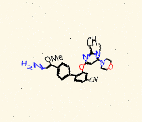 COC(CN)c1ccc(-c2ccc(C#N)cc2Oc2cc(N3CCOCC3)nc(C)n2)cc1